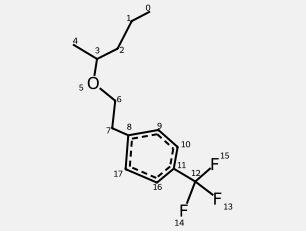 CCCC(C)OCCc1ccc(C(F)(F)F)cc1